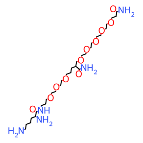 NCCCCC(N)C(=O)NCCCOCCOCCOCCCC(COCCOCCOCCOCCOCCC(N)=O)C(N)=O